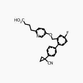 N#CC1(c2ccc(-c3ccc(F)cc3COc3ccc(CCCC(=O)O)nc3)cc2)CC1